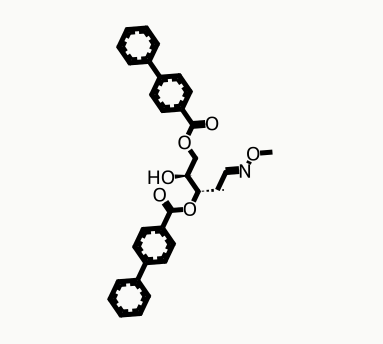 CON=C[CH][C@H](OC(=O)c1ccc(-c2ccccc2)cc1)[C@@H](O)COC(=O)c1ccc(-c2ccccc2)cc1